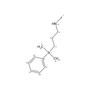 C[Si](C)(CCCNI)c1ccccc1